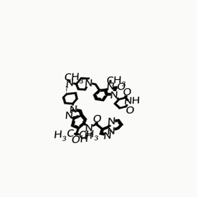 CN(C[C@H]1CC[C@H](n2cc3cc(NC(=O)c4cnn5cccnc45)c(C(C)(C)O)cc3n2)CC1)C1CCN(Cc2cccc3c2n(C)c(=O)n3C2CCC(=O)NC2=O)CC1